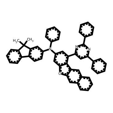 CC1(C)c2ccccc2-c2ccc(N(c3ccccc3)c3cc(-c4cc(-c5ccccc5)nc(-c5ccccc5)n4)c4c(c3)oc3cc5ccccc5cc34)cc21